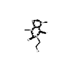 Cn1cnc2c1c(=O)n(CC[O])c(=O)n2C